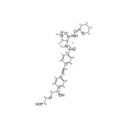 CNC(C)[C@@](C)(C(=O)NOC1CCCCO1)N(C)C(=O)c1ccc(C#Cc2ccc(C(O)COCCO)cc2)cc1